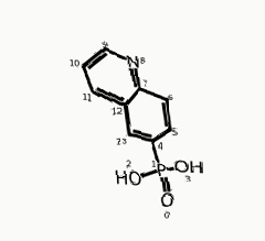 O=P(O)(O)c1ccc2ncccc2c1